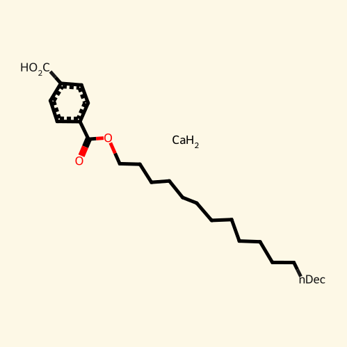 CCCCCCCCCCCCCCCCCCCCCCOC(=O)c1ccc(C(=O)O)cc1.[CaH2]